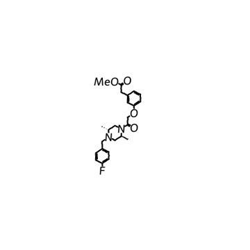 COC(=O)Cc1cccc(OCC(=O)N2C[C@@H](C)N(Cc3ccc(F)cc3)C[C@@H]2C)c1